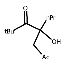 CCCC(O)(CC(C)=O)C(=O)C(C)(C)C